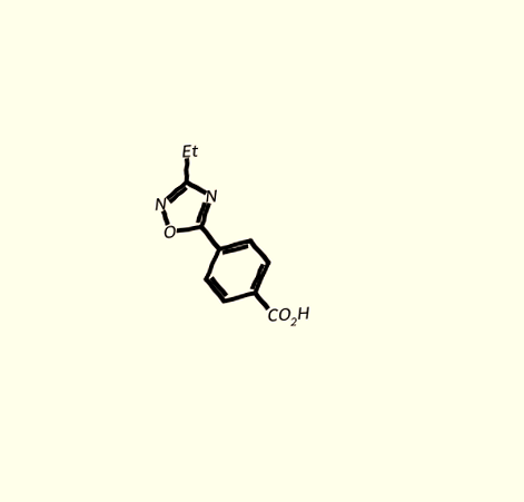 CCc1noc(-c2ccc(C(=O)O)cc2)n1